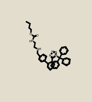 CCCCOC(=O)NCCNCc1ccc(-c2ccccc2-c2nnnn2C(c2ccccc2)(c2ccccc2)c2ccccc2)cc1